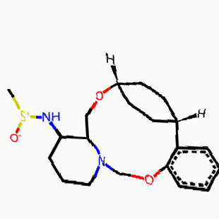 C[S+]([O-])NC1CCCN2COc3ccccc3[C@H]3CC[C@H](CC3)OCC12